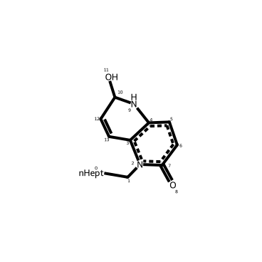 CCCCCCCCn1c2c(ccc1=O)NC(O)C=C2